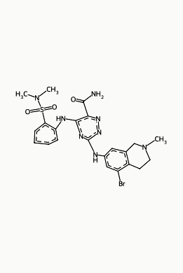 CN1CCc2c(Br)cc(Nc3nnc(C(N)=O)c(Nc4ccccc4S(=O)(=O)N(C)C)n3)cc2C1